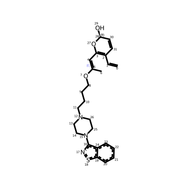 C=CC1=C(/C=C(\C)OCCCCN2CCN(c3nsc4ccccc34)CC2)O[C@@H](O)C=C1